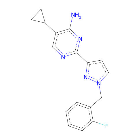 Nc1nc(-c2ccn(Cc3ccccc3F)n2)ncc1C1CC1